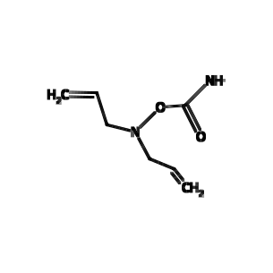 C=CCN(CC=C)OC([NH])=O